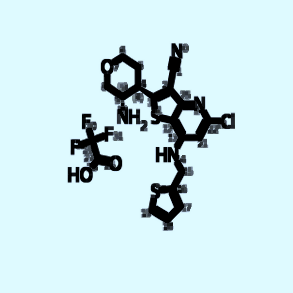 N#Cc1c([C@@H]2CCOC[C@H]2N)sc2c(NCc3cccs3)cc(Cl)nc12.O=C(O)C(F)(F)F